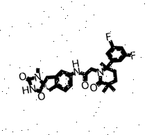 CN1C(=O)NC(=O)[C@@]12Cc1ccc(NC(=O)CN3C(=O)C(C)(C)CCC3(C)c3cc(F)cc(F)c3)cc1C2